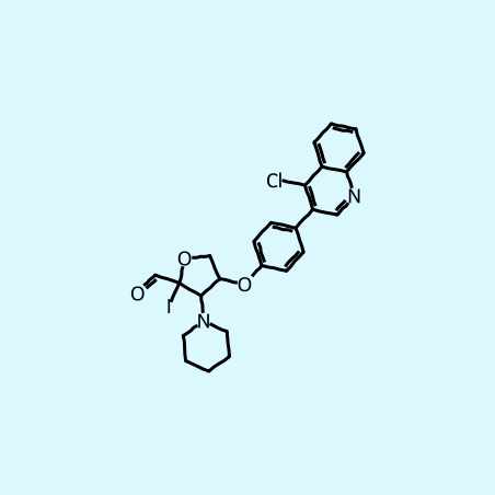 O=CC1(I)OCC(Oc2ccc(-c3cnc4ccccc4c3Cl)cc2)C1N1CCCCC1